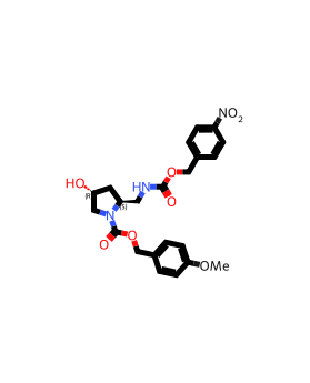 COc1ccc(COC(=O)N2C[C@H](O)C[C@H]2CNC(=O)OCc2ccc([N+](=O)[O-])cc2)cc1